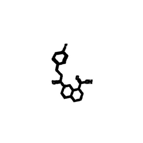 O=C(O)C1CCCC2CCN(C(=O)CCc3ccc(F)cc3)CC21